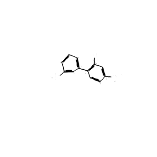 O=Cc1cccc(-c2ccc(C=O)cc2Cl)c1